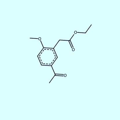 CCOC(=O)Cc1cc(C(C)=O)ccc1OC